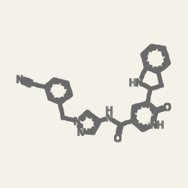 N#Cc1cccc(Cn2cc(NC(=O)c3c[nH]c(=O)c(C4Cc5ccccc5N4)c3)cn2)c1